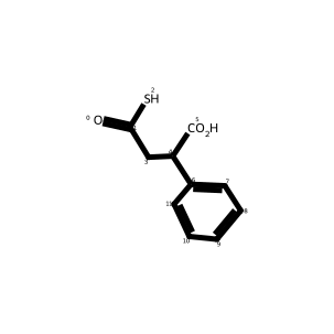 O=C(S)CC(C(=O)O)c1ccccc1